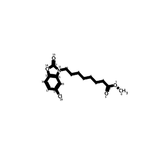 COC(=O)CCCCCCCn1c(=O)oc2ccc(Cl)cc21